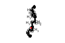 COC(C)(C#Cc1ccc2c(c1)N(C)C(=O)[C@H](NC(=O)c1n[nH]c(Cc3ccccc3)n1)CO2)CCC(C)(O)C#Cc1ccc2c(c1)OC[C@@H](NC(=O)c1ncn(Cc3ccccc3)n1)C(=O)N2C